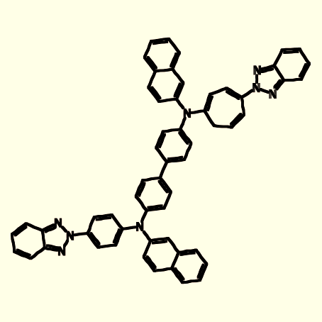 C1=CC(n2nc3ccccc3n2)=CC=C(N(c2ccc(-c3ccc(N(c4ccc(-n5nc6ccccc6n5)cc4)c4ccc5ccccc5c4)cc3)cc2)c2ccc3ccccc3c2)C1